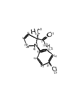 CC1(C(N)=O)C=CSN1c1ccc(Cl)cc1